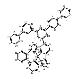 c1ccc(-c2ccc(-c3nc(-c4cccc(-c5ccccc5)c4)nc(-c4ccc5c(c4)C4(c6ccccc6-c6ccccc6-c6ccccc64)c4ccccc4-5)n3)cc2)cc1